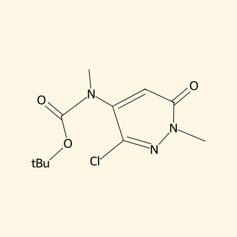 CN(C(=O)OC(C)(C)C)c1cc(=O)n(C)nc1Cl